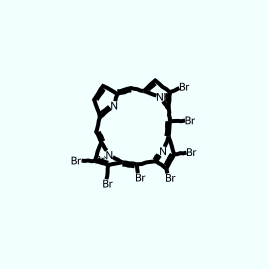 BrC1=C(Br)c2nc1c(Br)c1[nH]c(cc3nc(cc4c(Br)c(Br)c(c2Br)n4Br)C=C3)cc1Br